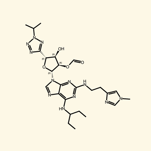 CCC(CC)Nc1nc(NCCc2cn(C)cn2)nc2c1ncn2[C@@H]1O[C@H](c2nnn(C(C)C)n2)[C@@H](O)[C@H]1OC=O